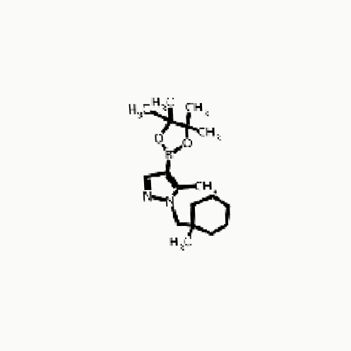 Cc1c(B2OC(C)(C)C(C)(C)O2)cnn1CC1(C)CCCCC1